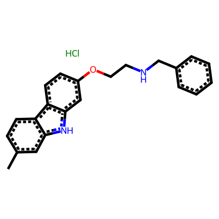 Cc1ccc2c(c1)[nH]c1cc(OCCNCc3ccccc3)ccc12.Cl